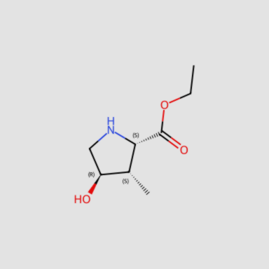 CCOC(=O)[C@H]1NC[C@H](O)[C@H]1C